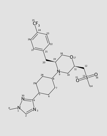 Cn1cnc(C2CCC(N3C[C@H](CS(C)(=O)=O)OC[C@@H]3Cc3ccc(C(F)(F)F)cc3)CC2)n1